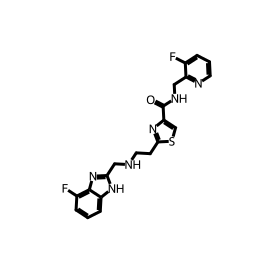 O=C(NCc1ncccc1F)c1csc(CCNCc2nc3c(F)cccc3[nH]2)n1